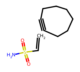 C1#CCCCCCC1.C=CS(N)(=O)=O